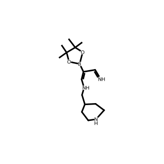 CC1(C)OB(/C(C=N)=C/NCC2CCNCC2)OC1(C)C